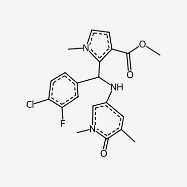 COC(=O)c1ccn(C)c1C(Nc1cc(C)c(=O)n(C)c1)c1ccc(Cl)c(F)c1